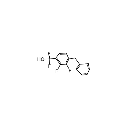 OC(F)(F)c1ccc(Cc2ccccc2)c(F)c1F